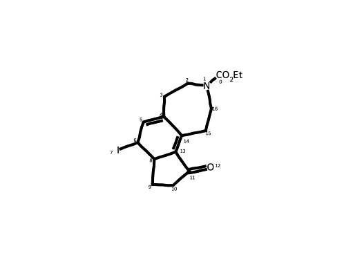 CCOC(=O)N1CCC2=CC(I)C3CCC(=O)C3=C2CC1